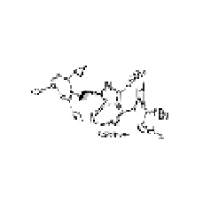 CCCCC(C)Nc1nc(OC)nc2c1c(SC)nn2-c1c(Cl)cc(Cl)cc1Cl